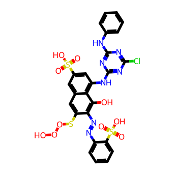 O=S(=O)(O)c1cc(Nc2nc(Cl)nc(Nc3ccccc3)n2)c2c(O)c(N=Nc3ccccc3S(=O)(=O)O)c(SOOO)cc2c1